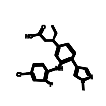 CC[C@H](CC(=O)O)c1ccc(-c2cnn(C)c2)c(Nc2ccc(Cl)cc2F)c1